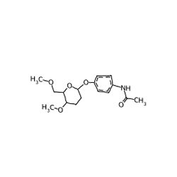 COCC1OC(Oc2ccc(NC(C)=O)cc2)CCC1OC